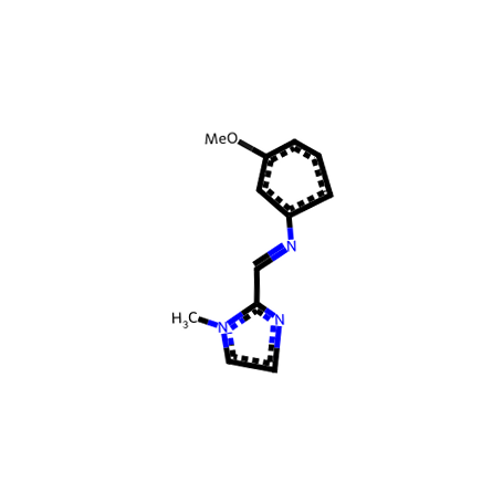 COc1cccc(N=Cc2nccn2C)c1